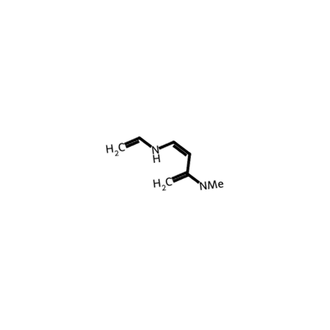 C=CN/C=C\C(=C)NC